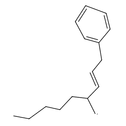 [CH2]C(C=CCc1ccccc1)CCCCC